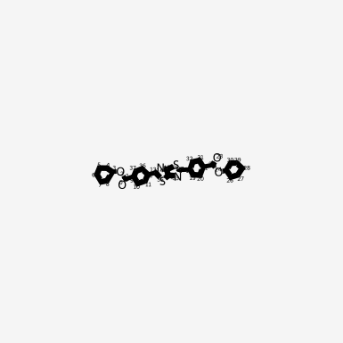 O=C(Oc1ccccc1)c1ccc(-c2nc3sc(-c4ccc(C(=O)Oc5ccccc5)cc4)nc3s2)cc1